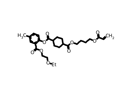 C=CC(=O)OCCCCOC(=O)C1CCC(C(=O)Oc2ccc(C)cc2C(=O)OCCOCC)CC1